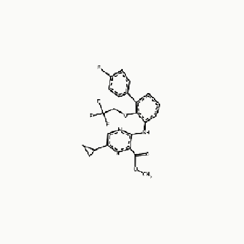 COC(=O)c1nc(C2CC2)cnc1Nc1cccc(-c2ccc(F)cc2)c1OCC(F)(F)F